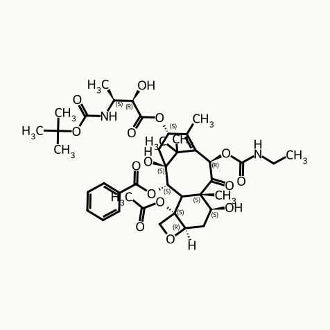 CCNC(=O)O[C@H]1C(=O)[C@@]2(C)C([C@H](OC(=O)c3ccccc3)[C@]3(O)C[C@H](OC(=O)[C@H](O)[C@H](C)NC(=O)OC(C)(C)C)C(C)=C1C3(C)C)[C@]1(OC(C)=O)CO[C@@H]1C[C@@H]2O